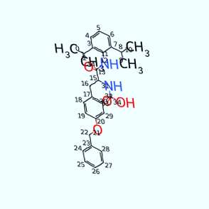 CC(C)c1cccc(C(C)C)c1NC(=O)C(Cc1ccc(OCc2ccccc2)cc1)NC(=O)O